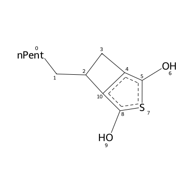 CCCCCCC1Cc2c(O)sc(O)c21